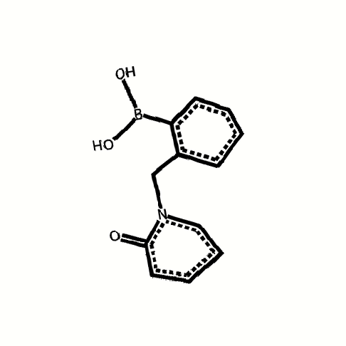 O=c1ccccn1Cc1ccccc1B(O)O